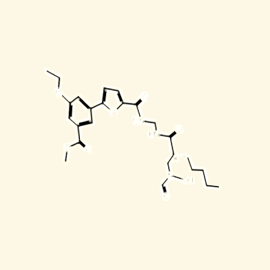 CCCCC[C@H](CN(O)C=O)C(=O)NCNC(=O)c1ccc(-c2cc(OCC)cc(C(=O)OC)c2)o1